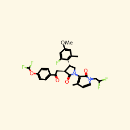 COc1cc(C)c([C@@H]2CN(c3c(C)ccn(CC(F)F)c3=O)C(=O)[C@H]2CC(=O)c2ccc(OC(F)F)cc2)c(F)c1